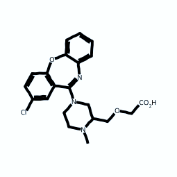 CN1CCN(C2=Nc3ccccc3Oc3ccc(Cl)cc32)CC1COCC(=O)O